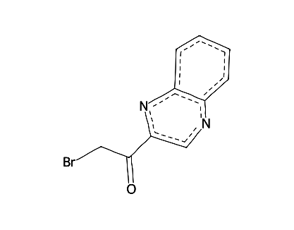 O=C(CBr)c1cnc2ccccc2n1